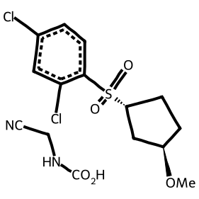 CO[C@@H]1CC[C@@H](S(=O)(=O)c2ccc(Cl)cc2Cl)C1.N#CCNC(=O)O